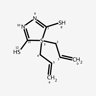 C=CCS1(CC=C)C(S)=NN=C1S